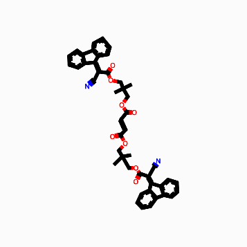 CC(C)(COC(=O)/C=C/C(=O)OCC(C)(C)COC(=O)C(C#N)=C1c2ccccc2-c2ccccc21)COC(=O)C(C#N)=C1c2ccccc2-c2ccccc21